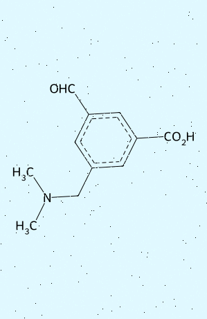 CN(C)Cc1cc(C=O)cc(C(=O)O)c1